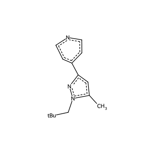 Cc1cc(-c2ccncc2)nn1CC(C)(C)C